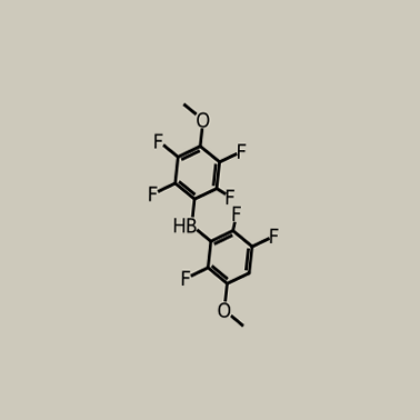 COc1cc(F)c(F)c(Bc2c(F)c(F)c(OC)c(F)c2F)c1F